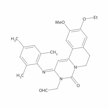 CCOc1cc2c(cc1OC)-c1c/c(=N\c3c(C)cc(C)cc3C)n(CC=O)c(=O)n1CC2